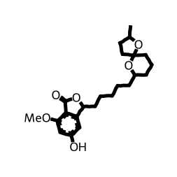 COc1cc(O)cc2c1C(=O)OC2CCCCCC1CCCC2(CCC(C)O2)O1